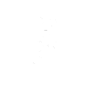 CC(C)c1cc(-c2ccccc2C(N)=O)cc(C(C)C)c1NC(=O)N=S(N)(=O)c1ccc(CN(C)C)cc1